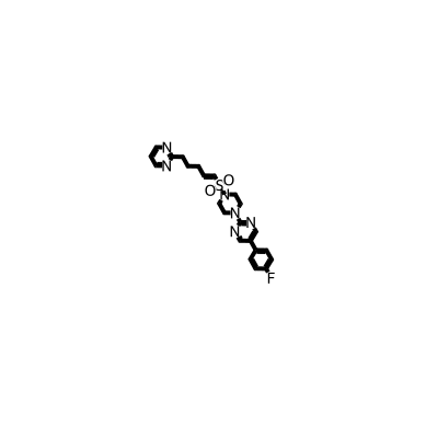 O=S(=O)(/C=C/CCCc1ncccn1)N1CCN(c2ncc(-c3ccc(F)cc3)cn2)CC1